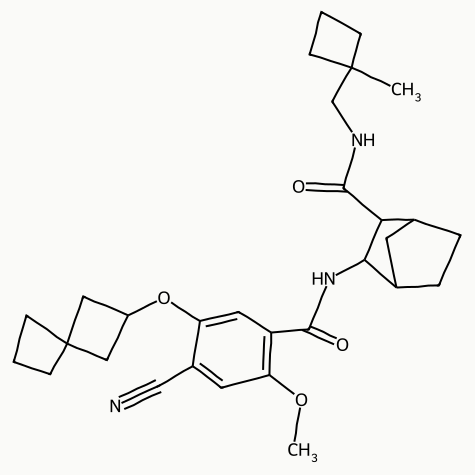 COc1cc(C#N)c(OC2CC3(CCC3)C2)cc1C(=O)NC1C2CCC(C2)C1C(=O)NCC1(C)CCC1